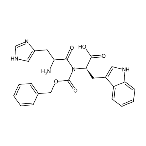 NC(Cc1c[nH]cn1)C(=O)N(C(=O)OCc1ccccc1)[C@H](Cc1c[nH]c2ccccc12)C(=O)O